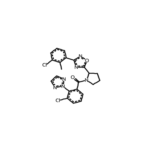 Cc1c(Cl)cccc1-c1noc(C2CCCN2C(=O)c2cccc(Cl)c2-n2nccn2)n1